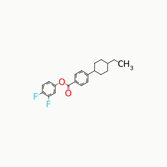 CCC1CCC(c2ccc(C(=O)Oc3ccc(F)c(F)c3)cc2)CC1